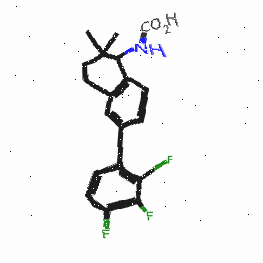 CC1(C)CCc2cc(-c3ccc(F)c(F)c3F)ccc2C1NC(=O)O